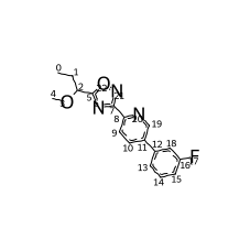 CCC(OC)c1nc(-c2ccc(-c3cccc(F)c3)cn2)no1